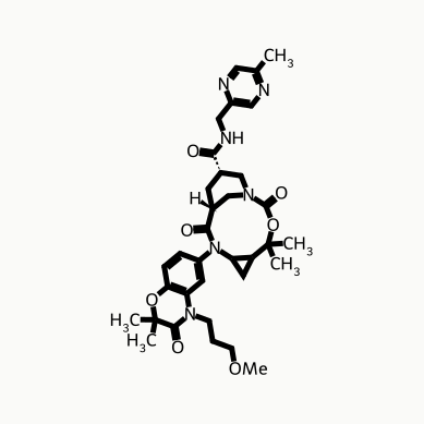 COCCCN1C(=O)C(C)(C)Oc2ccc(N3C(=O)[C@@H]4C[C@H](C(=O)NCc5cnc(C)cn5)CN(C4)C(=O)OC(C)(C)C4CC43)cc21